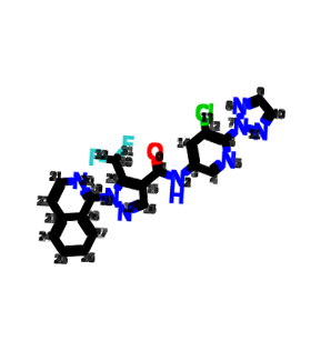 O=C(Nc1cnc(-n2nccn2)c(Cl)c1)c1cnn(-c2nccc3ccccc23)c1C(F)F